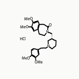 COc1ccc(CCN2CCC[C@@H](CN3CCc4cc(OC)c(OC)cc4CC3=O)C2)cc1OC.Cl